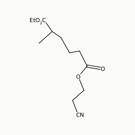 CCOC(=O)C(C)CCCC(=O)OCCC#N